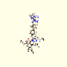 Cc1cc(C)c(C(=O)NC(Cc2ccc(-c3cc(CNc4ncc[nH]4)cs3)cc2)C(=O)O)c(C)c1